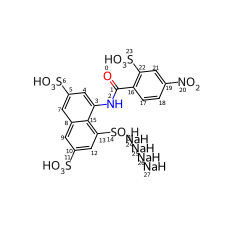 O=C(Nc1cc(S(=O)(=O)O)cc2cc(S(=O)(=O)O)cc(S(=O)(=O)O)c12)c1ccc([N+](=O)[O-])cc1S(=O)(=O)O.[NaH].[NaH].[NaH].[NaH]